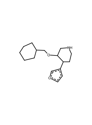 c1cc(C2CCNCC2OCC2CCCCC2)co1